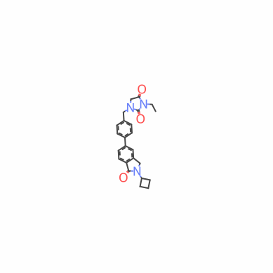 CCN1C(=O)CN(Cc2ccc(-c3ccc4c(c3)CN(C3CCC3)C4=O)cc2)C1=O